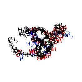 CCCCCCc1ccc(S(=O)(=O)NCCCCCCNCc2c(O)cc3c(c2O)-c2cc(ccc2O)[C@H]2NC(=O)[C@@H]4NC(=O)[C@H](CC(N)=O)NC(=O)[C@H](NC(=O)[C@@H](CC(C)C)NC)[C@H](O)c5ccc(c(C)c5)Oc5cc4cc(c5O[C@@H]4O[C@H](CO)[C@@H](O)[C@H](O)[C@H]4O[C@H]4C[C@](C)(NC(=O)CN)[C@H](O)[C@H](C)O4)Oc4ccc(cc4Cl)[C@@H](O)[C@H](NC2=O)C(=O)N[C@@H]3C(=O)O)cc1